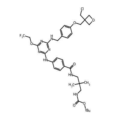 CC(C)(CNC(=O)OC(C)(C)C)CNC(=O)c1ccc(Nc2nc(NCc3ccc(OCC4(CCl)COC4)cc3)nc(OCC(F)(F)F)n2)cc1